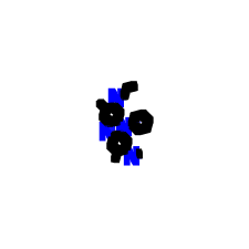 C=CC=Nc1cc2c(cc1C)nc1cc(C)c(N=C)cc1[n+]2-c1ccccc1